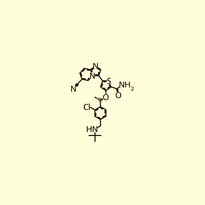 C[C@@H](Oc1cc(-c2cnc3ccc(C#N)cn23)sc1C(N)=O)c1ccc(CNC(C)(C)C)cc1Cl